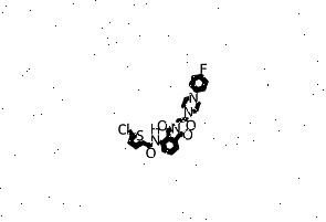 O=C(Nc1cccc2c1C(=O)N(CC(=O)N1CCN(c3ccc(F)cc3)CC1)C2=O)c1ccc(Cl)s1